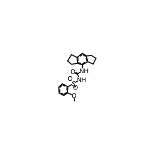 COc1ccccc1S(=O)(=O)NC(=O)Nc1c2c(cc3c1CCC3)CCC2